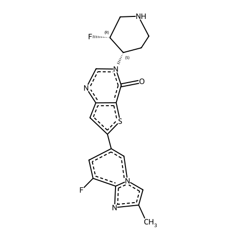 Cc1cn2cc(-c3cc4ncn([C@H]5CCNC[C@H]5F)c(=O)c4s3)cc(F)c2n1